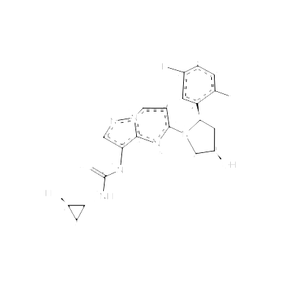 O[C@@H]1C[C@H](c2cc(F)ccc2F)N(c2ccn3ncc(NC(=S)N[C@@H]4C[C@H]4O)c3n2)C1